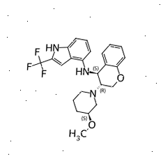 CO[C@H]1CCCN([C@H]2COc3ccccc3[C@@H]2Nc2cccc3[nH]c(C(F)(F)F)cc23)C1